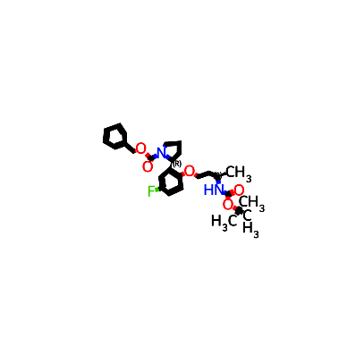 C[C@H](CCOc1ccc(F)cc1[C@H]1CCCN1C(=O)OCc1ccccc1)NC(=O)OC(C)(C)C